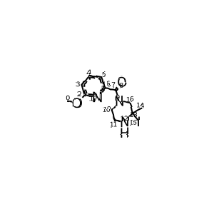 COc1cccc(C(=O)N2CCNC(C)(I)C2)n1